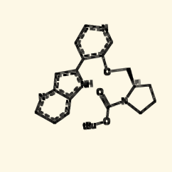 CC(C)(C)OC(=O)N1CCC[C@@H]1COc1cnccc1-c1cc2ncccc2[nH]1